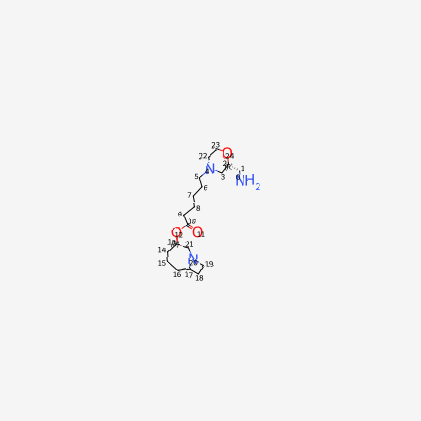 NC[C@@H]1CN(CCCCCC(=O)O[C@@H]2CCCC3CCN3C2)CCO1